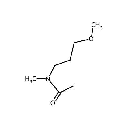 COCCCN(C)C(=O)I